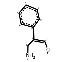 NCC(=CCl)c1ccccc1